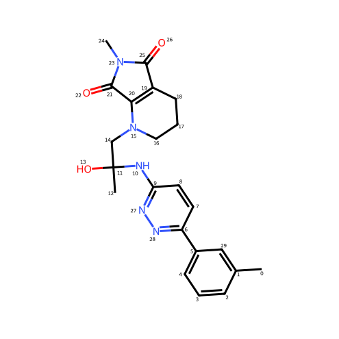 Cc1cccc(-c2ccc(NC(C)(O)CN3CCCC4=C3C(=O)N(C)C4=O)nn2)c1